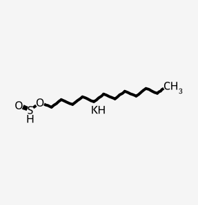 CCCCCCCCCCCCO[SH]=O.[KH]